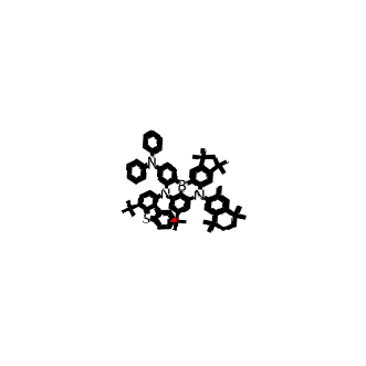 Cc1cc2c(cc1N1c3cc4c(cc3B3c5ccc(N(c6ccccc6)c6ccccc6)cc5N(c5ccc(C(C)(C)C)c6sc7ccccc7c56)c5cc(C(C)(C)C)cc1c53)C(C)(C)CC4(C)C)C(C)(C)CCC2(C)C